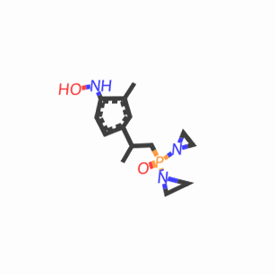 Cc1cc(C(C)CP(=O)(N2CC2)N2CC2)ccc1NO